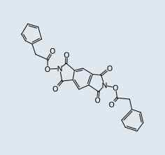 O=C(Cc1ccccc1)On1c(=O)c2cc3c(=O)n(OC(=O)Cc4ccccc4)c(=O)c3cc2c1=O